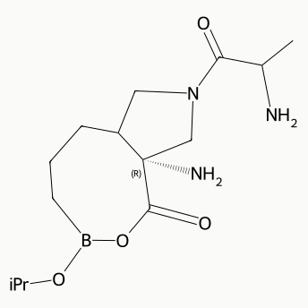 CC(C)OB1CCCC2CN(C(=O)C(C)N)C[C@@]2(N)C(=O)O1